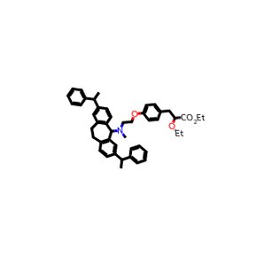 CCOC(=O)C(Cc1ccc(OCCN(C)C2c3ccc(C(C)c4ccccc4)cc3CCc3ccc(C(C)c4ccccc4)cc32)cc1)OCC